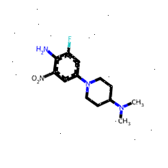 CN(C)C1CCN(c2cc(F)c(N)c([N+](=O)[O-])c2)CC1